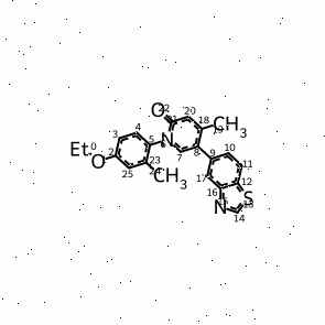 CCOc1ccc(-n2cc(-c3ccc4scnc4c3)c(C)cc2=O)c(C)c1